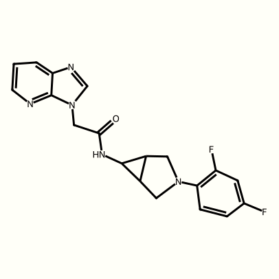 O=C(Cn1cnc2cccnc21)NC1C2CN(c3ccc(F)cc3F)CC21